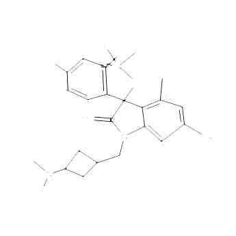 CCN(CC)C1CC(CN2C(=O)C(O[Si](CC)(CC)CC)(c3ccc(Cl)cc3Cl)c3c2cc(I)cc3C(F)(F)F)C1